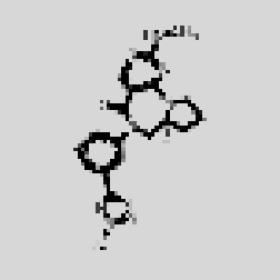 CNc1ncc2c(n1)N1CCC[C@H]1CN(c1cccc(-c3nnn(C)n3)c1)C2=O